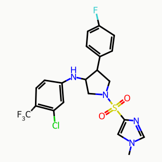 Cn1cnc(S(=O)(=O)N2CC(Nc3ccc(C(F)(F)F)c(Cl)c3)C(c3ccc(F)cc3)C2)c1